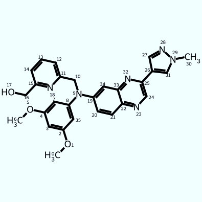 COc1cc(OC)cc(N(Cc2cccc(CO)n2)c2ccc3ncc(-c4cnn(C)c4)nc3c2)c1